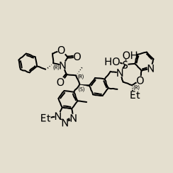 CC[C@@H]1CN(Cc2cc([C@@H](c3ccc4c(nnn4CC)c3C)[C@@H](C)C(=O)N3C(=O)OC[C@H]3Cc3ccccc3)ccc2C)S(O)(O)c2cccnc2O1